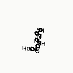 Cc1ccncc1-c1cccc2c1ccn2-c1ccnc(NC2CCC(C(=O)N3CCC(O)CC3)CC2)n1